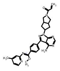 C=CC(=O)N1CC2CC(n3nc(-c4ccc(/C(=N/c5cc(C)ccn5)OC)cc4)c4c(N)ncnc43)CC2C1